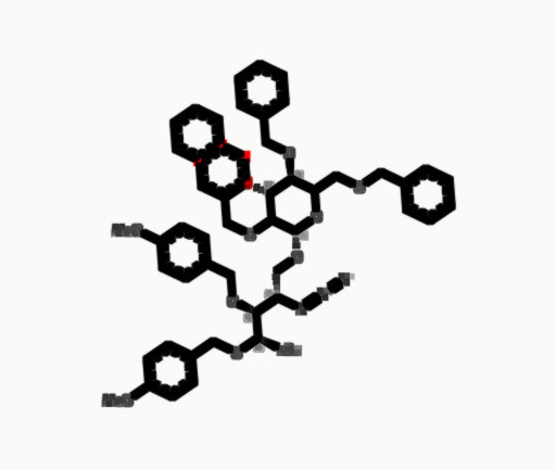 CCCC[C@@H](OCc1ccc(OC)cc1)[C@@H](OCc1ccc(OC)cc1)[C@H](CO[C@H]1OC(COCc2ccccc2)[C@H](OCc2ccccc2)[C@@H](OCc2ccccc2)C1OCc1ccccc1)N=[N+]=[N-]